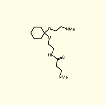 CNCCOC1(OCCNC(=O)CCNC)CCCCC1